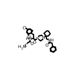 NCCC(=O)NC(Cc1ccc(Cl)cc1Cl)C(=O)N1CCN(C2(CNC(=O)Cc3ccccc3)CCCCC2)CC1